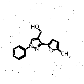 Cc1ccc(-c2nn(-c3ccccc3)cc2CO)o1